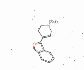 CCOC(=O)N1CC=C(c2occ3ccccc23)CC1